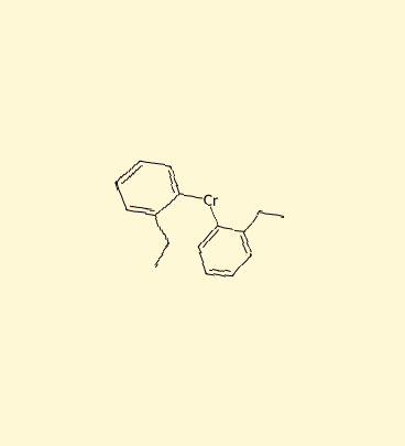 CCc1cccc[c]1[Cr][c]1ccccc1CC